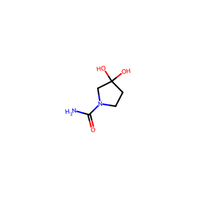 NC(=O)N1CCC(O)(O)C1